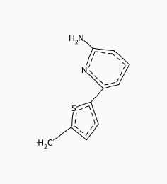 [CH2]c1ccc(-c2cccc(N)n2)s1